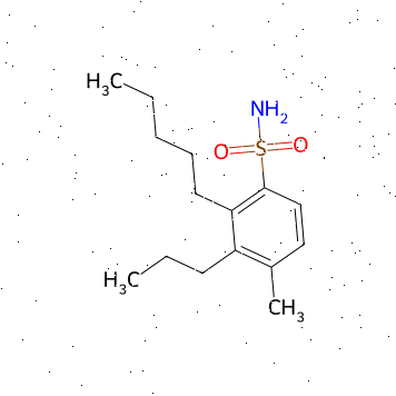 CCCCCc1c(S(N)(=O)=O)ccc(C)c1CCC